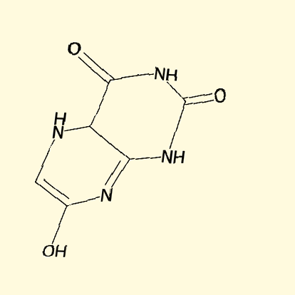 O=C1NC(=O)C2NC=C(O)N=C2N1